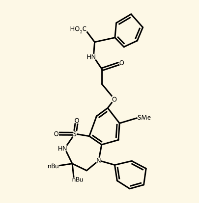 CCCCC1(CCCC)CN(c2ccccc2)c2cc(SC)c(OCC(=O)NC(C(=O)O)c3ccccc3)cc2S(=O)(=O)N1